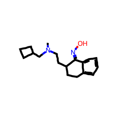 CN(CCC1CCc2ccccc2C1=NO)CC1CCC1